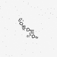 CCC(OC(=O)Nc1ccc(-c2ncn(-c3ccc(OC(F)(F)F)cc3)n2)cc1)c1ccc(Br)cc1